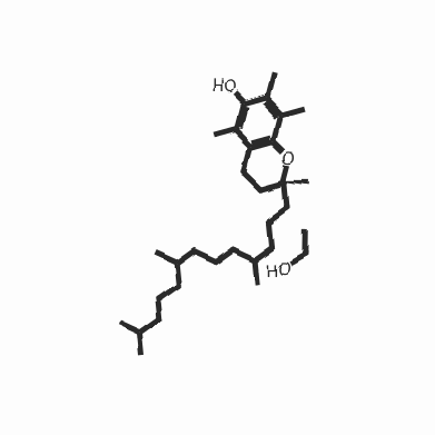 CCO.Cc1c(C)c2c(c(C)c1O)CC[C@@](C)(CCCC(C)CCCC(C)CCCC(C)C)O2